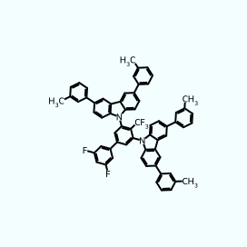 Cc1cccc(-c2ccc3c(c2)c2cc(-c4cccc(C)c4)ccc2n3-c2cc(-c3cc(F)cc(F)c3)cc(-n3c4ccc(-c5cccc(C)c5)cc4c4cc(-c5cccc(C)c5)ccc43)c2C(F)(F)F)c1